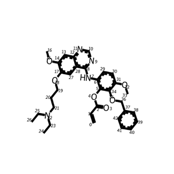 C=CC(=O)Oc1c(Nc2ncnc3cc(OC)c(OCCCN(CC)CC)cc23)ccc(OC)c1OCc1ccccc1